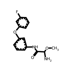 COC(N)C(=O)Nc1cccc(Oc2cccc(F)c2)c1